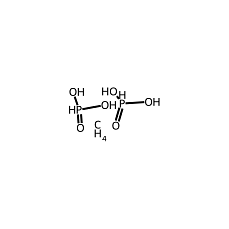 C.O=[PH](O)O.O=[PH](O)O